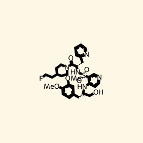 COc1ccc(C[C@@H](CO)Nc2ccncc2S(=O)(=O)N[C@@H](Cc2ccccn2)C(=O)N2CCC(CCF)CC2)cc1OC